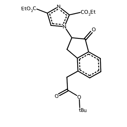 CCOC(=O)c1cn(C2Cc3c(CC(=O)OC(C)(C)C)cccc3C2=O)c(C(=O)OCC)n1